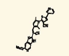 COc1cc2nc(C(C#N)=Cc3cc(C)n(-c4sc(-c5cccnc5)cc4C#N)c3C)[nH]c2cn1